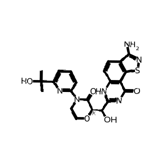 CC(C)(O)c1cccc(N2CCO[C@H](C(O)c3nc(=O)c4c(ccc5c(N)nsc54)[nH]3)C2=O)n1